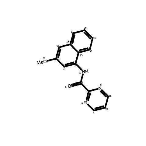 COc1cc(NC(=O)c2ncccn2)c2ccccc2c1